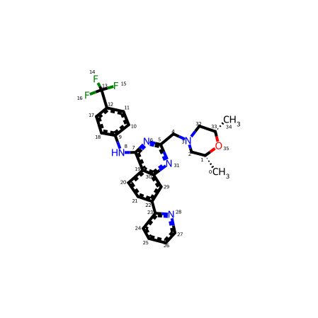 C[C@@H]1CN(Cc2nc(Nc3ccc(C(F)(F)F)cc3)c3ccc(-c4ccccn4)cc3n2)C[C@H](C)O1